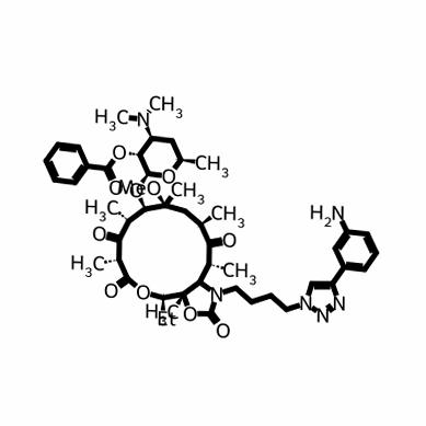 CC[C@H]1OC(=O)[C@H](C)C(=O)[C@H](C)[C@@H](O[C@@H]2O[C@H](C)C[C@H](N(C)C)[C@H]2OC(=O)c2ccccc2)[C@@](C)(OC)C[C@@H](C)C(=O)[C@H](C)C2N(CCCCn3cc(-c4cccc(N)c4)nn3)C(=O)O[C@@]21C